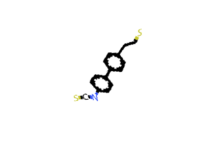 S=C=Nc1ccc(-c2ccc(CC=S)cc2)cc1